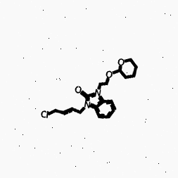 O=c1n(CC=CCCl)c2ccccc2n1CCOC1CCCCO1